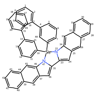 c1ccc(-c2cccc([Si]3(c4cccc(-c5ccccc5)c4)n4c(cc5cc6ccccc6cc54)-c4cc5cc6ccccc6cc5n43)c2)cc1